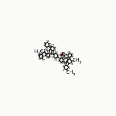 Cc1ccc2c(c1)c1cc(C)cc3c1n2-c1ccc(-c2ccc(N(c4cccc(-c5ccccc5)c4)c4ccc5c(c4)C(C)(C)c4ccccc4-5)cc2)cc1C31c2ccccc2-c2ccccc21